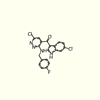 O=C(c1cc(Cl)nnc1NCc1ccc(F)cc1)c1c[nH]c2cc(Cl)ccc12